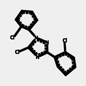 Clc1ccccc1-c1nc(Cl)n(-c2ccccc2Cl)n1